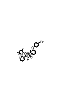 CC1CN(c2ncccc2C(=O)NS(=O)(=O)c2cccc(Oc3ccc(C(C)C)cc3)n2)C(C)(C)C1